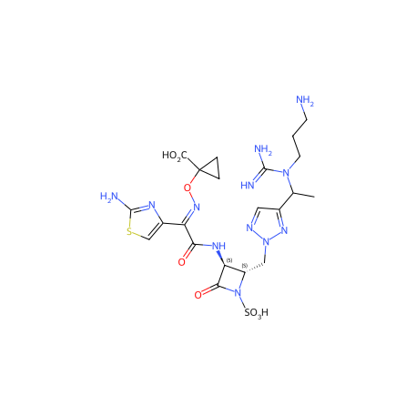 CC(c1cnn(C[C@H]2[C@H](NC(=O)C(=NOC3(C(=O)O)CC3)c3csc(N)n3)C(=O)N2S(=O)(=O)O)n1)N(CCCN)C(=N)N